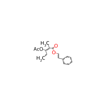 C=CC(OC(C)=O)=C(C)C(=O)OC=Cc1ccccc1